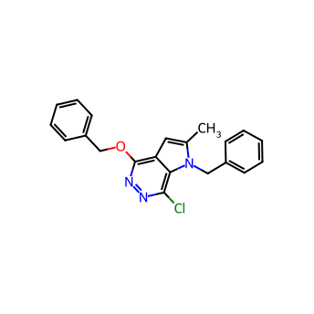 Cc1cc2c(OCc3ccccc3)nnc(Cl)c2n1Cc1ccccc1